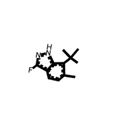 Cc1ccc2c(F)n[nH]c2c1C(C)(C)C